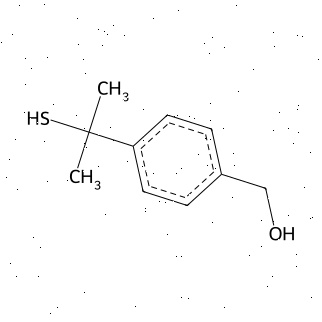 CC(C)(S)c1ccc(CO)cc1